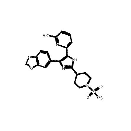 Cc1cccc(-c2[nH]c(C3CCN(S(C)(=O)=O)CC3)nc2-c2ccc3c(c2)OCO3)n1